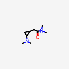 CN(C)C(=O)CC1CC1N(C)C